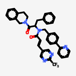 O=C(C(Cc1ccccc1)N(Cc1ccc(-c2ccccn2)cc1)C(=O)C=Cc1cnc(C(F)(F)F)nc1)N1CCc2ccccc2C1